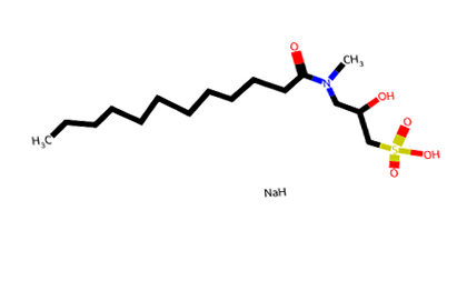 CCCCCCCCCCCC(=O)N(C)CC(O)CS(=O)(=O)O.[NaH]